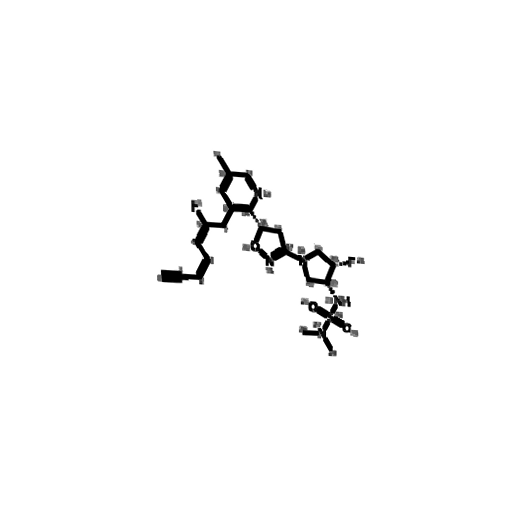 C#C/C=C\C=C(\F)Cc1cc(C)cnc1[C@@H]1CC(N2C[C@H](F)[C@H](NS(=O)(=O)N(C)C)C2)=NO1